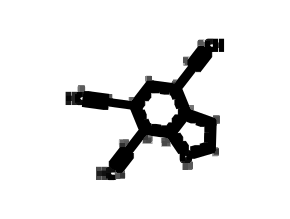 C#Cc1cc(C#C)c2ccoc2c1C#C